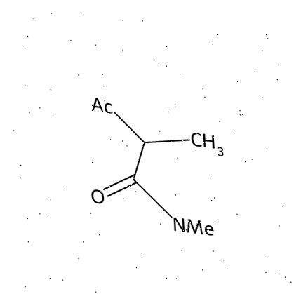 CNC(=O)C(C)C(C)=O